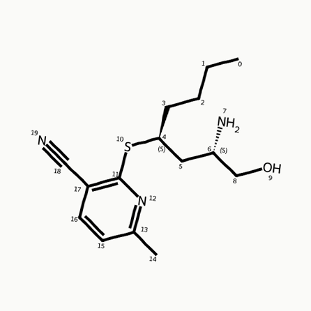 CCCC[C@@H](C[C@H](N)CO)Sc1nc(C)ccc1C#N